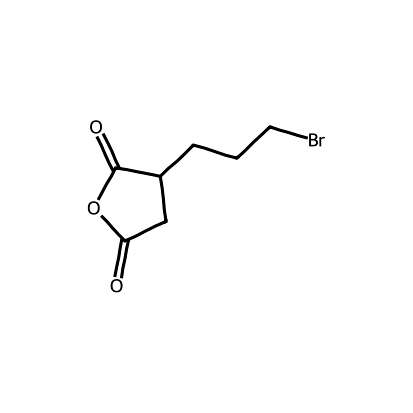 O=C1CC(CCCBr)C(=O)O1